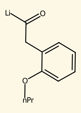 [Li][C](=O)Cc1ccccc1OCCC